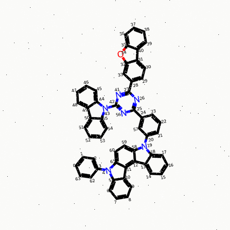 c1ccc(-n2c3ccccc3c3c4c5ccccc5n(-c5cccc(-c6nc(-c7ccc8c(c7)oc7ccccc78)nc(-n7c8ccccc8c8ccccc87)n6)c5)c4ccc32)cc1